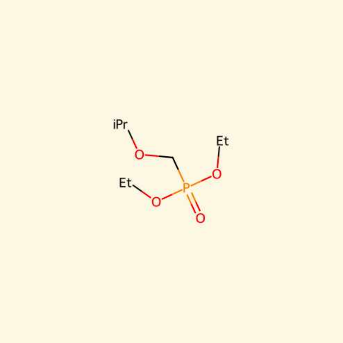 CCOP(=O)(COC(C)C)OCC